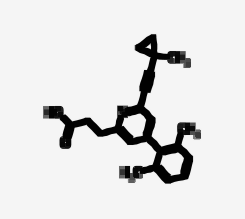 Cc1cccc(C)c1-c1cc(C#CC2(C)CC2)nc(CCC(=O)O)c1